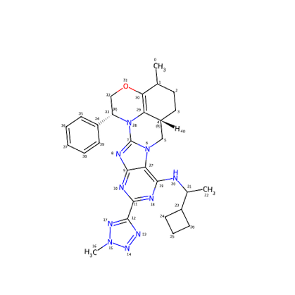 CC1CC[C@@H]2Cn3c(nc4nc(-c5nnn(C)n5)nc(NC(C)C5CCC5)c43)N3C2=C1OC[C@H]3c1ccccc1